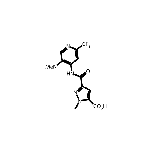 CNc1cnc(C(F)(F)F)cc1NC(=O)c1cc(C(=O)O)n(C)n1